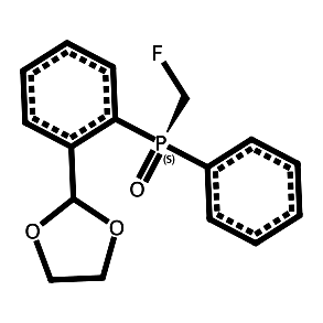 O=[P@@](CF)(c1ccccc1)c1ccccc1C1OCCO1